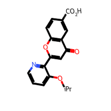 CC(C)Oc1cccnc1-c1cc(=O)c2cc(C(=O)O)ccc2o1